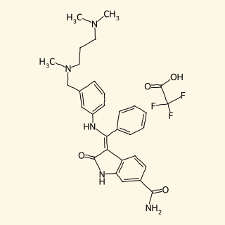 CN(C)CCCN(C)Cc1cccc(N/C(=C2\C(=O)Nc3cc(C(N)=O)ccc32)c2ccccc2)c1.O=C(O)C(F)(F)F